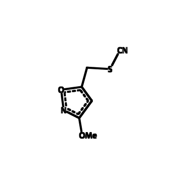 COc1cc(CSC#N)on1